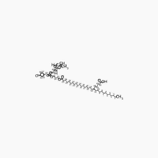 CCCCCCCCCCCCC(CCCCCCCCCCCCCCCCCC(=O)OCCCOP(OCCNC(=O)OC(C)(C)C)OCc1ccc(Cl)cc1)CCCCC(=O)O